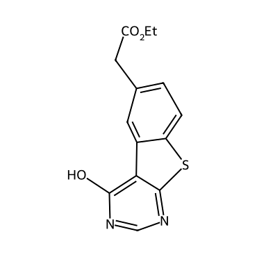 CCOC(=O)Cc1ccc2sc3ncnc(O)c3c2c1